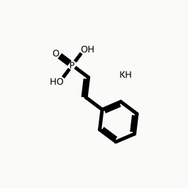 O=P(O)(O)C=Cc1ccccc1.[KH]